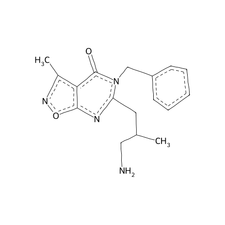 Cc1noc2nc(CC(C)CN)n(Cc3ccccc3)c(=O)c12